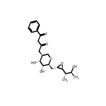 C[C@H]([C@@H]1O[C@H]1C[C@@H]1OC[C@H](CC(=O)CC(=O)c2ccccc2)[C@@H](O)[C@H]1O)[C@H](C)O